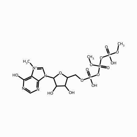 COP(=O)(O)OP(=O)(OC)OP(=O)(O)OCC1OC(n2c[n+](C)c3c(O)ncnc32)C(O)C1O